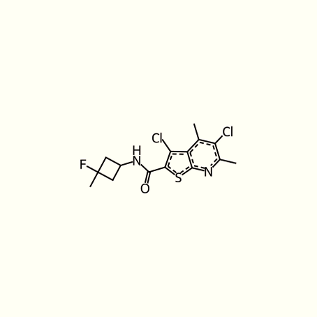 Cc1nc2sc(C(=O)NC3CC(C)(F)C3)c(Cl)c2c(C)c1Cl